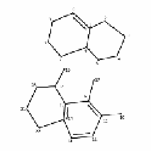 C1=C2CCCCC2CCC1.Cc1ccc2c(c1C)C(C)CCC2